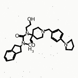 CN(C(=O)N(CCO)C1(C=O)CCN(Cc2ccc(N3CCCC3)cc2)CC1)C1Cc2ccccc2C1